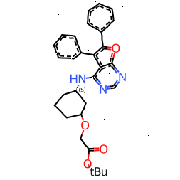 CC(C)(C)OC(=O)COC1CCC[C@H](Nc2ncnc3oc(-c4ccccc4)c(-c4ccccc4)c23)C1